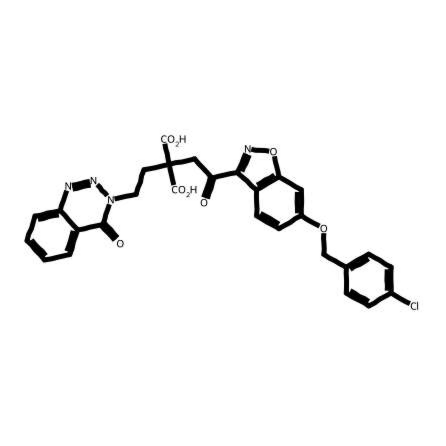 O=C(CC(CCn1nnc2ccccc2c1=O)(C(=O)O)C(=O)O)c1noc2cc(OCc3ccc(Cl)cc3)ccc12